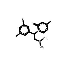 CN(C)CC(c1cc(F)cc(I)c1)n1ccc(I)cc1=O